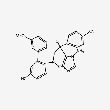 COc1cccc(-c2cc(C#N)ccc2N(C)CC(O)(c2ccc(C#N)cc2)c2cncn2C)c1